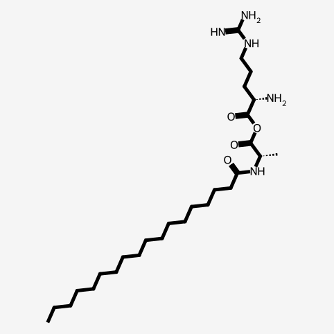 CCCCCCCCCCCCCCCCCC(=O)N[C@@H](C)C(=O)OC(=O)[C@@H](N)CCCNC(=N)N